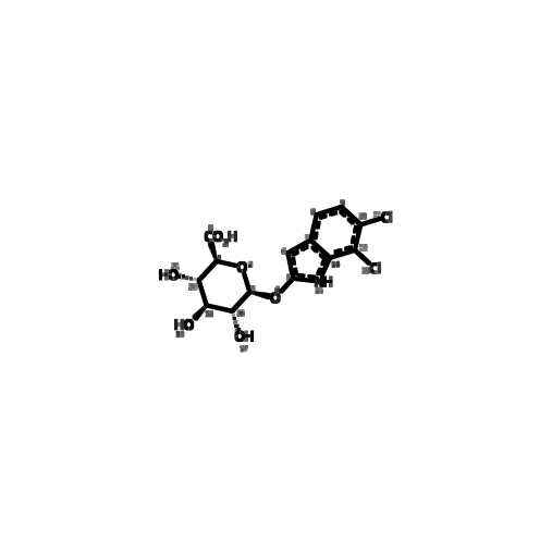 O=C(O)[C@H]1O[C@@H](Oc2cc3ccc(Cl)c(Cl)c3[nH]2)[C@H](O)[C@@H](O)[C@@H]1O